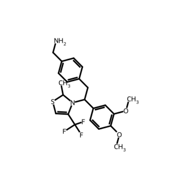 COc1ccc(C(Cc2ccc(CN)cc2)N2C(C(F)(F)F)=CSC2C)cc1OC